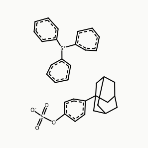 O=S(=O)([O-])Oc1ccc(C23CC4CC(CC(C4)C2)C3)cc1.c1ccc([S+](c2ccccc2)c2ccccc2)cc1